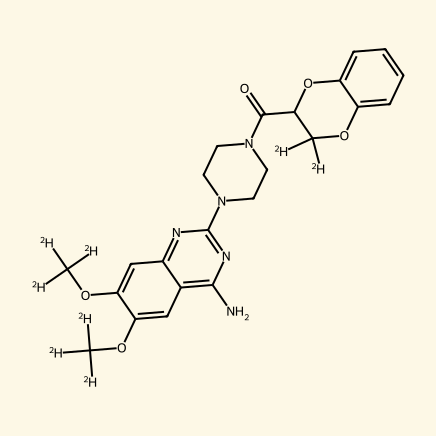 [2H]C([2H])([2H])Oc1cc2nc(N3CCN(C(=O)C4Oc5ccccc5OC4([2H])[2H])CC3)nc(N)c2cc1OC([2H])([2H])[2H]